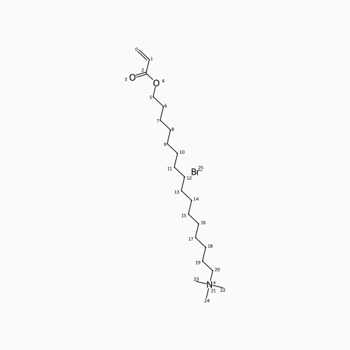 C=CC(=O)OCCCCCCCCCCCCCCCC[N+](C)(C)C.[Br-]